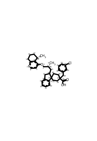 C[C@@H](COc1ccnc2c1[C@@H](C)CCC2)CC1Cc2ccccc2C12CCC(Cc1cccc(Cl)c1)(C(=O)O)CC2